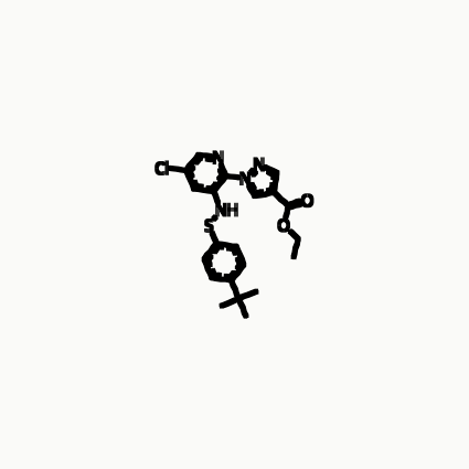 CCOC(=O)c1cnn(-c2ncc(Cl)cc2NSc2ccc(C(C)(C)C)cc2)c1